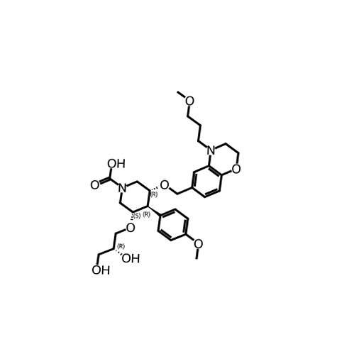 COCCCN1CCOc2ccc(CO[C@H]3CN(C(=O)O)C[C@@H](OC[C@H](O)CO)[C@@H]3c3ccc(OC)cc3)cc21